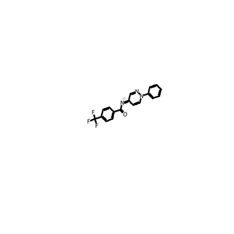 O=C(/N=c1\ccn(-c2ccccc2)nc1)c1ccc(C(F)(F)F)cc1